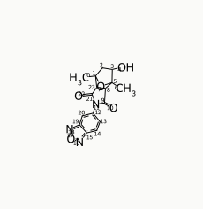 CC12CC(O)C(C)(O1)C1C(=O)N(c3ccc4nonc4c3)C(=O)C12